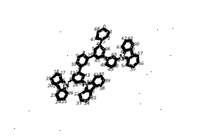 c1ccc(-c2cc(-c3cccc(-c4cc(-n5c6ccccc6c6ccccc65)cc(-n5c6ccccc6c6ccccc65)c4)c3)cc(-c3cccc(-n4c5ccccc5c5ccccc54)c3)c2)cc1